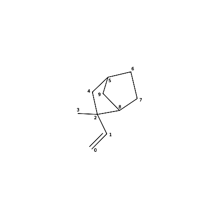 C=CC1(C)CC2CCC1C2